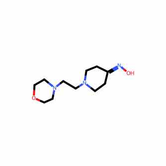 ON=C1CCN(CCN2CCOCC2)CC1